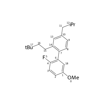 COc1ccc(F)c(-c2ccc(CC(C)C)cc2CCC(C)(C)C)c1